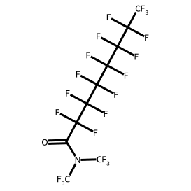 O=C(N(C(F)(F)F)C(F)(F)F)C(F)(F)C(F)(F)C(F)(F)C(F)(F)C(F)(F)C(F)(F)C(F)(F)F